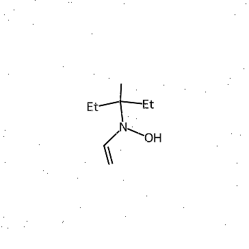 C=CN(O)C(C)(CC)CC